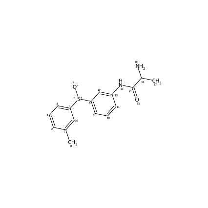 Cc1cccc([S+]([O-])c2cccc(NC(=O)C(C)N)c2)c1